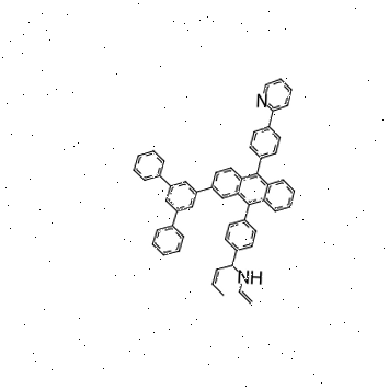 C=CNC(/C=C\C)c1ccc(-c2c3ccccc3c(-c3ccc(-c4ccccn4)cc3)c3ccc(-c4cc(-c5ccccc5)cc(-c5ccccc5)c4)cc23)cc1